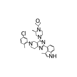 Cc1ccc(Cl)cc1N1CCc2nc(-c3cccc4[nH]cc(C)c34)nc(N3CCN(C4COC4)[C@H](C)C3)c2C1